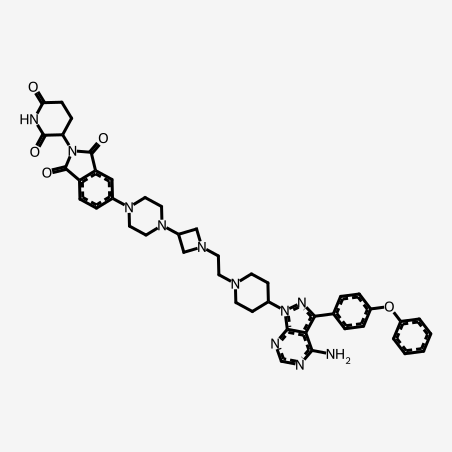 Nc1ncnc2c1c(-c1ccc(Oc3ccccc3)cc1)nn2C1CCN(CCN2CC(N3CCN(c4ccc5c(c4)C(=O)N(C4CCC(=O)NC4=O)C5=O)CC3)C2)CC1